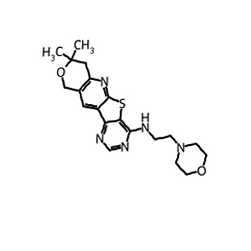 CC1(C)Cc2nc3sc4c(NCCN5CCOCC5)ncnc4c3cc2CO1